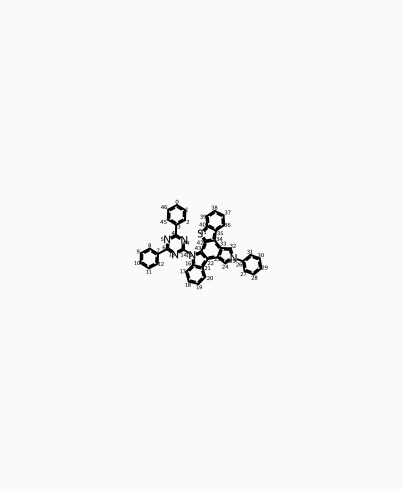 c1ccc(-c2nc(-c3ccccc3)nc(-n3c4ccccc4c4c5cn(-c6ccccc6)cc5c5c6ccccc6sc5c43)n2)cc1